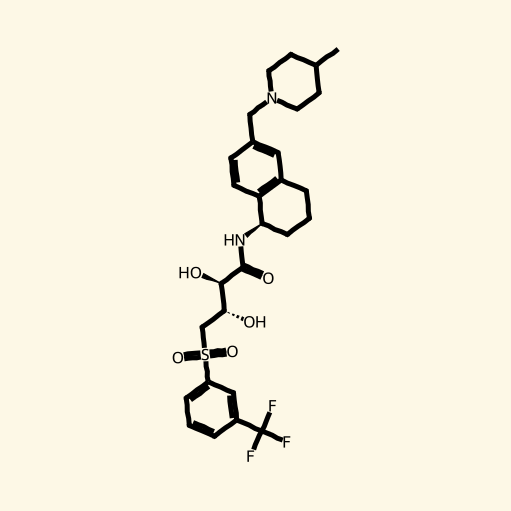 CC1CCN(Cc2ccc3c(c2)CCC[C@H]3NC(=O)[C@H](O)[C@H](O)CS(=O)(=O)c2cccc(C(F)(F)F)c2)CC1